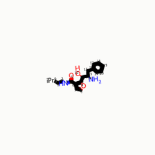 CC(C)CCNC(=O)c1ccoc1[C@H](O)[C@@H](N)Cc1ccccc1